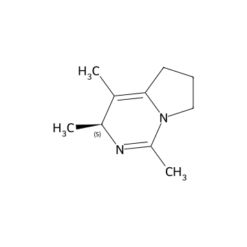 CC1=N[C@@H](C)C(C)=C2CCCN12